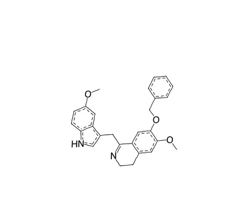 COc1ccc2[nH]cc(CC3=NCCc4cc(OC)c(OCc5ccccc5)cc43)c2c1